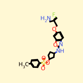 Cc1ccc(S(=O)(=O)OC2CCC(Nc3nc4ccc(OC/C(=C/F)CN)cc4o3)C2)cc1